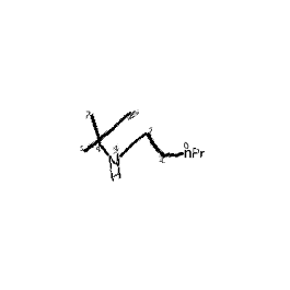 CCCCCNC(C)(C)C